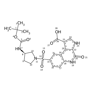 CC(C)(C)OC(=O)N[C@@H]1CCN(S(=O)(=O)c2ccc3[nH]c(=O)c4[nH]cc(C(=O)O)c4c3c2)C1